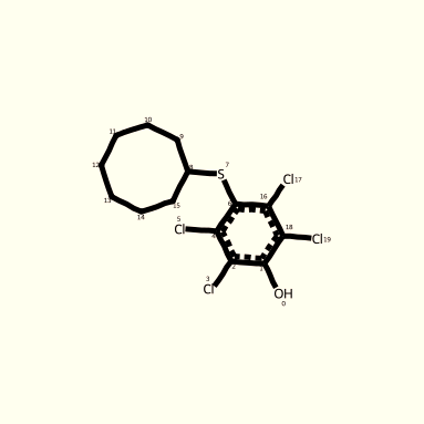 Oc1c(Cl)c(Cl)c(SC2CCCCCCC2)c(Cl)c1Cl